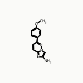 COc1ccc(-c2ccc3nc(N)cn3n2)cc1